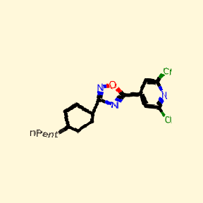 CCCCCC1CCC(c2noc(-c3cc(Cl)nc(Cl)c3)n2)CC1